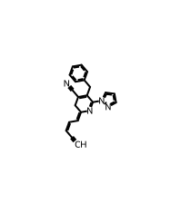 C#C/C=C\C=C1/CC(C#N)=C(Cc2ccccc2)C(n2cccn2)=N1